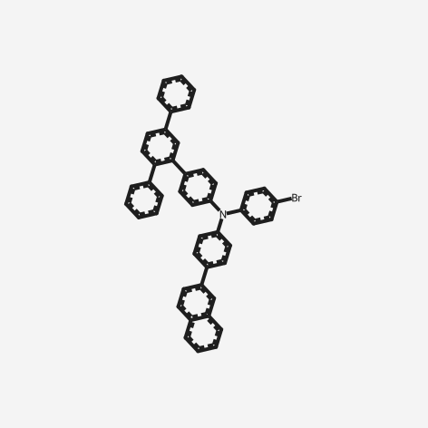 Brc1ccc(N(c2ccc(-c3ccc4ccccc4c3)cc2)c2ccc(-c3cc(-c4ccccc4)ccc3-c3ccccc3)cc2)cc1